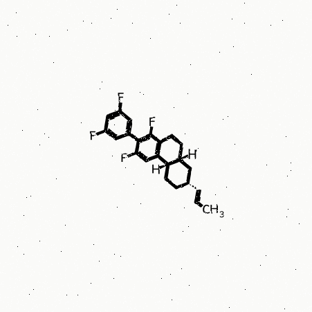 C/C=C/[C@@H]1CC[C@@H]2c3cc(F)c(-c4cc(F)cc(F)c4)c(F)c3CC[C@@H]2C1